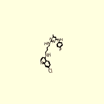 Cc1cc(Nc2ccc(F)cc2)nc(NCCCCNc2ccnc3cc(Cl)ccc23)n1